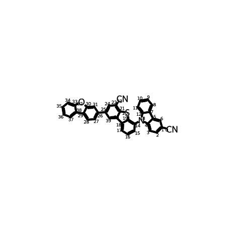 N#Cc1ccc2c(c1)c1ccccc1n2-c1cccc2c1sc1c(C#N)cc(-c3ccc4c(c3)oc3ccccc34)cc12